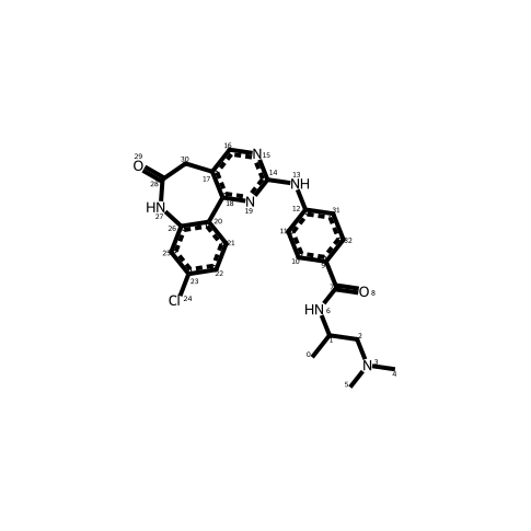 CC(CN(C)C)NC(=O)c1ccc(Nc2ncc3c(n2)-c2ccc(Cl)cc2NC(=O)C3)cc1